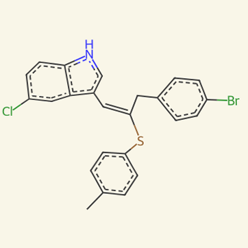 Cc1ccc(S/C(=C/c2c[nH]c3ccc(Cl)cc23)Cc2ccc(Br)cc2)cc1